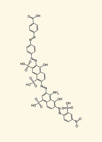 Nc1c(N=Nc2ccc3c(O)c(N=Nc4ccc(N=Nc5ccc(C(=O)O)cc5)cc4)c(S(=O)(=O)O)cc3c2S(=O)(=O)O)cc(S(=O)(=O)O)c2ccc(N=Nc3ccc([N+](=O)[O-])cc3S(=O)(=O)O)c(O)c12